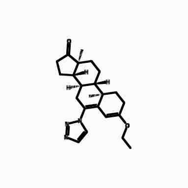 CCOC1=CC2=C(n3ccnn3)C[C@@H]3[C@H](CC[C@]4(C)C(=O)CC[C@@H]34)[C@@]2(C)CC1